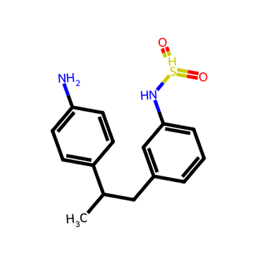 CC(Cc1cccc(N[SH](=O)=O)c1)c1ccc(N)cc1